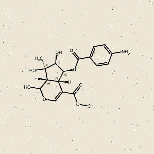 COC(=O)C1=COC(O)[C@H]2[C@@H]1[C@H](OC(=O)c1ccc(N)cc1)[C@H](O)[C@]2(C)O